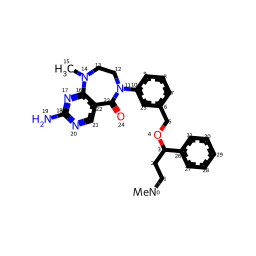 CNCCC(OCc1cccc(N2CCN(C)c3nc(N)ncc3C2=O)c1)c1ccccc1